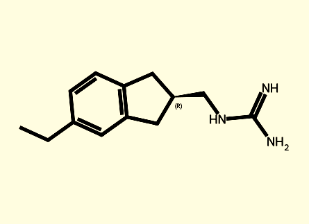 CCc1ccc2c(c1)C[C@H](CNC(=N)N)C2